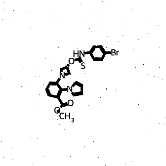 COC(=O)c1cccc(N2CC(OC(=S)Nc3ccc(Br)cc3)C2)c1-n1cccc1